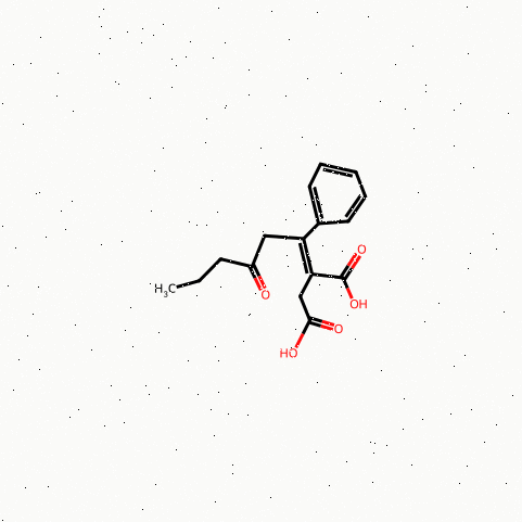 CCCC(=O)CC(=C(CC(=O)O)C(=O)O)c1ccccc1